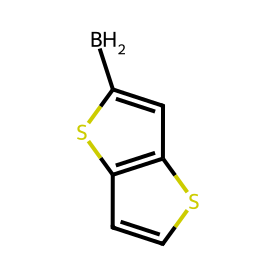 Bc1cc2sccc2s1